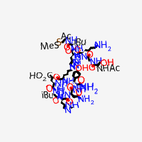 CC[C@@H](C)[C@@H](NC(=O)[C@@H](CCC(=O)O)NC(=O)[C@@H](N)CCCCn1cc(C[C@H](NC(=O)[C@H](CCCCN)NC(=O)CNC(=O)[C@H](CO)NC(C)=O)C(=O)N[C@H](C(=O)N[C@@H](CSSC)C(C)=O)[C@@H](C)CC)nn1)C(=O)N[C@H](Cc1cnc[nH]1)C(=O)NC(CC(N)=O)C(=O)N[C@H](Cc1ccc(O)cc1)C(N)=O